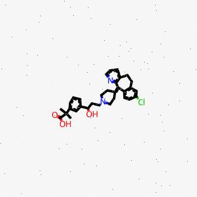 CC(C)(C(=O)O)c1cccc(C(O)CCN2CCC(=C3c4ccc(Cl)cc4CCc4cccnc43)CC2)c1